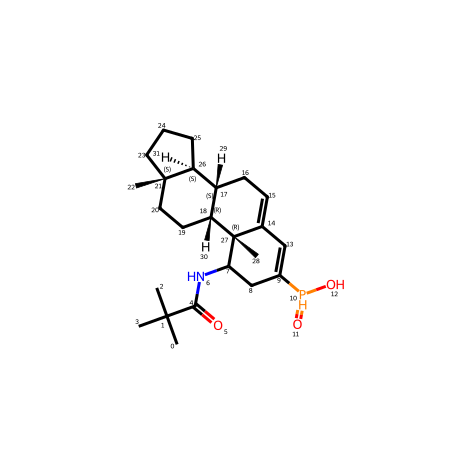 CC(C)(C)C(=O)NC1CC([PH](=O)O)=CC2=CC[C@@H]3[C@@H](CC[C@]4(C)CCC[C@@H]34)[C@]21C